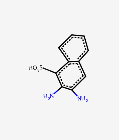 Nc1cc2ccccc2c(S(=O)(=O)O)c1N